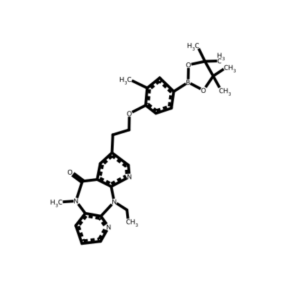 CCN1c2ncc(CCOc3ccc(B4OC(C)(C)C(C)(C)O4)cc3C)cc2C(=O)N(C)c2cccnc21